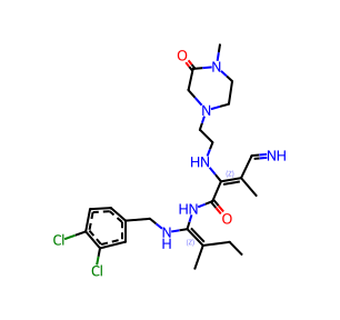 CC/C(C)=C(/NCc1ccc(Cl)c(Cl)c1)NC(=O)/C(NCCN1CCN(C)C(=O)C1)=C(\C)C=N